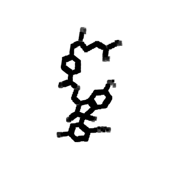 CCN(CC)CCN(CC)Cc1ccc(C(=O)OCN2C(=O)C(F)(c3cc(Cl)ccc3OC)c3ccc(C(F)(F)F)cc32)cc1